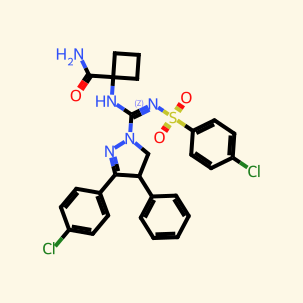 NC(=O)C1(N/C(=N/S(=O)(=O)c2ccc(Cl)cc2)N2CC(c3ccccc3)C(c3ccc(Cl)cc3)=N2)CCC1